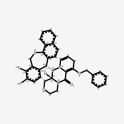 O=C1C2=C(OCc3ccccc3)CC=CN2N([C@@H]2c3ccc(F)c(F)c3CSc3c2ccc2ccccc32)[C@H]2COCCN12